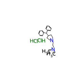 CCN(CC)CCCN1CCC(C(c2ccccc2)c2ccccc2)CC1.Cl.Cl